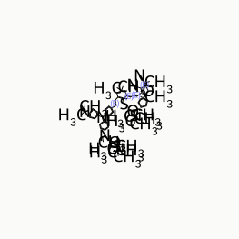 CCN(CCO[Si](C)(C)C(C)(C)C)c1ccc(N(c2ccc(/C=C/C3=C(SCCO[Si](C)(C)C(C)(C)C)C(=C/C=C/C4=C(C#N)C(=C(/C)C#N)/OC4(C)c4ccccc4)/CC(C)(C)C3)cc2)c2ccc(N(C)C)cc2)cc1